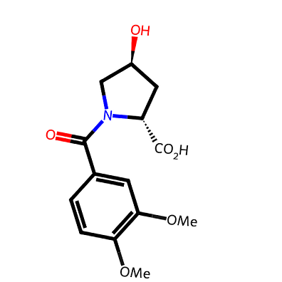 COc1ccc(C(=O)N2C[C@@H](O)C[C@@H]2C(=O)O)cc1OC